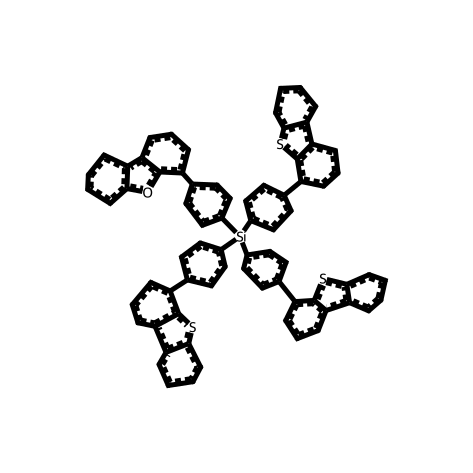 c1ccc2c(c1)oc1c(-c3ccc([Si](c4ccc(-c5cccc6c5sc5ccccc56)cc4)(c4ccc(-c5cccc6c5sc5ccccc56)cc4)c4ccc(-c5cccc6c5sc5ccccc56)cc4)cc3)cccc12